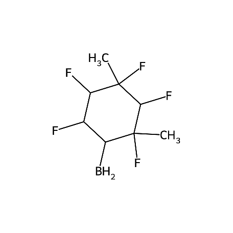 BC1C(F)C(F)C(C)(F)C(F)C1(C)F